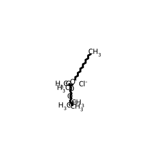 CCCCCCCCCCCCCCOCC(C)(OC)OCCOCC[N+](C)(C)C.[Cl-]